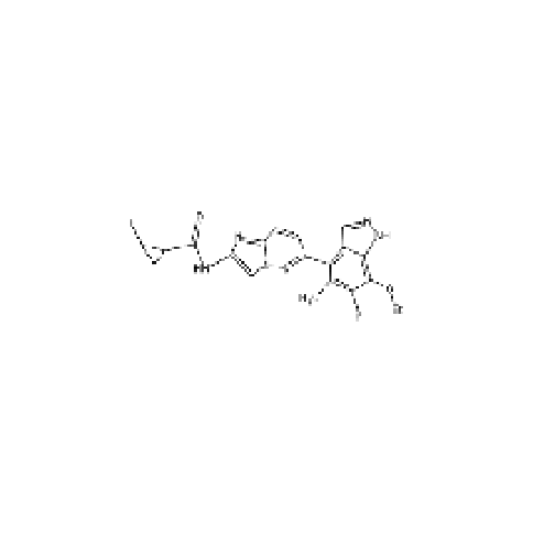 CCOc1c(F)c(C)c(-c2ccc3nc(NC(=O)C4CC4F)cn3n2)c2cn[nH]c12